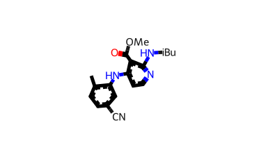 CCC(C)Nc1nccc(Nc2cc(C#N)ccc2C)c1C(=O)OC